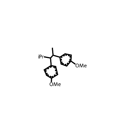 COc1ccc(C(C)C(c2ccc(OC)cc2)C(C)C)cc1